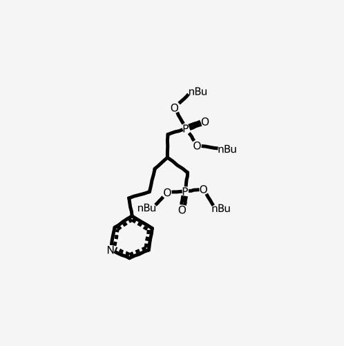 CCCCOP(=O)(CC(CCCc1cccnc1)CP(=O)(OCCCC)OCCCC)OCCCC